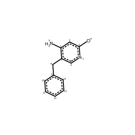 Nc1cc(Cl)ncc1Cc1ccccc1